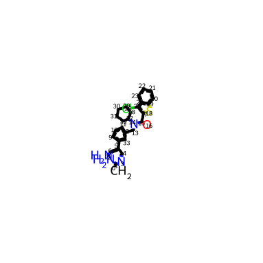 C=C(N)/N=C\C(=C/N)c1cccc(CN(C(=O)c2sc3ccccc3c2Cl)C2CCCCC2)c1